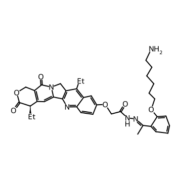 CCc1c2c(nc3ccc(OCC(=O)N/N=C(\C)c4ccccc4OCCCCCCN)cc13)-c1cc3c(c(=O)n1C2)COC(=O)[C@@H]3CC